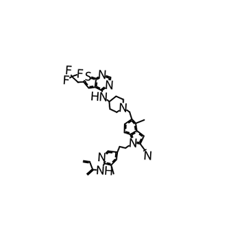 C=CC(=C)Nc1ncc(CCn2c(C#N)cc3c(C)c(CN4CCC(Nc5ncnc6sc(CC(F)(F)F)cc56)CC4)ccc32)cc1C